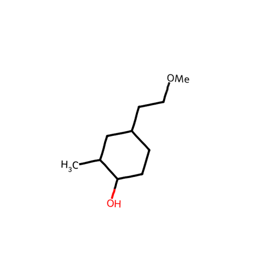 COCCC1CCC(O)C(C)C1